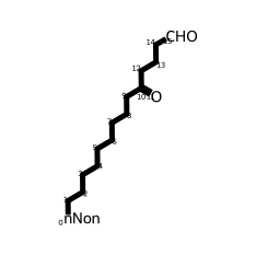 CCCCCCCCCCCCCCCCCCC(=O)CCCC=O